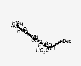 CCCCCCCCCCCCCCCCCC(=O)NC(CCC(=O)NCCOCCOCC(=O)NCCOCCOCC(=O)NCCCC[C@H](NO)C(C)=O)C(=O)O